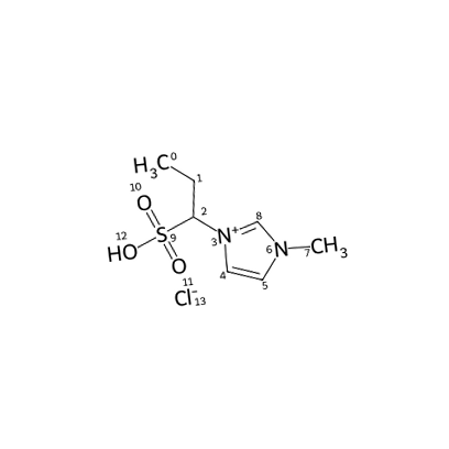 CCC([n+]1ccn(C)c1)S(=O)(=O)O.[Cl-]